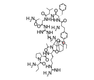 CCOc1ccc(C[C@H](N)C(=O)N[C@@H](Cc2ccccc2)C(=O)N[C@H](C(=O)N[C@@H](CC(N)=O)C(=O)NC(=N)NCCC[C@@](C(N)=O)(N(C(C)=O)C(=O)[C@@H](CCCNC(=N)N)NC(=O)[C@@H]2CCCN2C(=O)C(N)CC)C23CC4CC(CC(C4)C2)C3)C(C)C)cc1